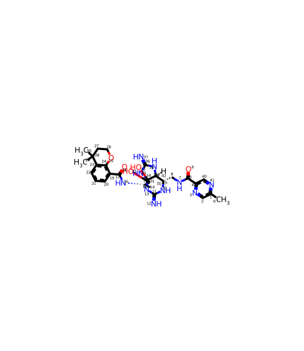 Cc1cnc(C(=O)NC[C@@H]2NC(=N)N3C[C@H](NC(=O)c4cccc5c4OCCC5(C)C)C(O)(O)[C@@]34NC(=N)N[C@@H]24)cn1